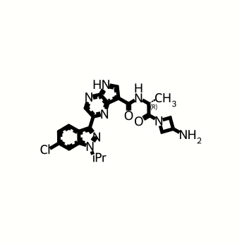 CC(C)n1nc(-c2cnc3[nH]cc(C(=O)N[C@H](C)C(=O)N4CC(N)C4)c3n2)c2ccc(Cl)cc21